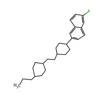 CCCC1CCC(CCC2CCC(c3ccc4cc(F)ccc4c3)CC2)CC1